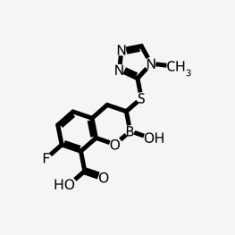 Cn1cnnc1SC1Cc2ccc(F)c(C(=O)O)c2OB1O